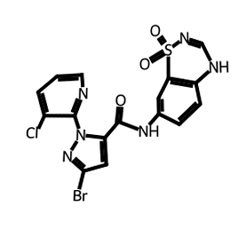 O=C(Nc1ccc2c(c1)S(=O)(=O)N=CN2)c1cc(Br)nn1-c1ncccc1Cl